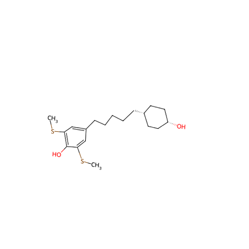 CSc1cc(CCCCC[C@H]2CC[C@@H](O)CC2)cc(SC)c1O